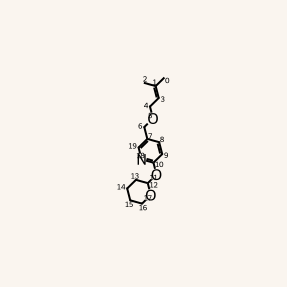 CC(C)=CCOCc1ccc(OC2CCCCO2)nc1